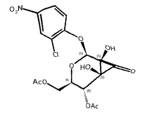 CC(=O)OC[C@H]1O[C@@H](Oc2ccc([N+](=O)[O-])cc2Cl)[C@]2(O)C(=O)[C@]2(O)[C@@H]1OC(C)=O